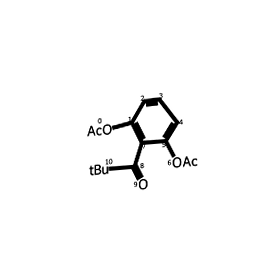 CC(=O)Oc1cccc(OC(C)=O)c1C(=O)C(C)(C)C